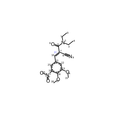 CCN(CC)C(=O)/C(C#N)=C/c1cc(OC)c(OC)c([N+](=O)[O-])c1